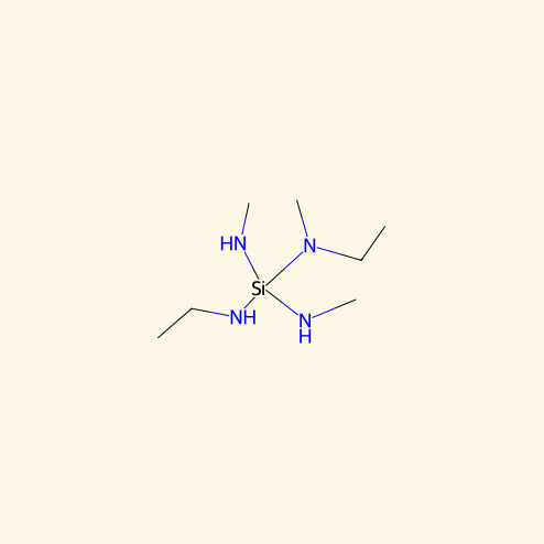 CCN[Si](NC)(NC)N(C)CC